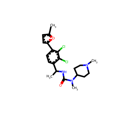 Cc1ccc(-c2ccc(C(C)NC(=O)N(C)C3CCN(C)CC3)c(Cl)c2Cl)o1